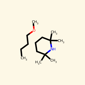 CC1(C)CCCC(C)(C)N1.CCCCOC